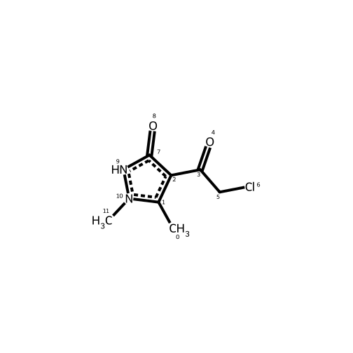 Cc1c(C(=O)CCl)c(=O)[nH]n1C